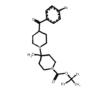 CCC(C)(CC)OC(=O)N1CCC(C)(N2CCC(C(=O)c3ccc(Br)cc3)CC2)CC1